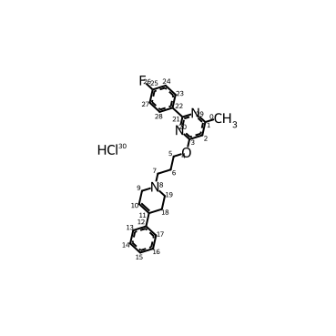 Cc1cc(OCCCN2CC=C(c3ccccc3)CC2)nc(-c2ccc(F)cc2)n1.Cl